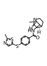 Cc1ncc(Sc2ccc(C(=O)N[C@@H]3C4CCN(CC4)[C@H]3C)cc2)s1